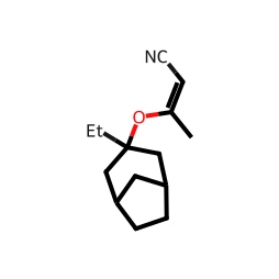 CCC1(O/C(C)=C\C#N)CC2CCC(C2)C1